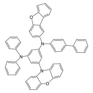 c1ccc(-c2ccc(N(c3cc(N(c4ccccc4)c4ccccc4)cc(N4c5ccccc5Oc5ccccc54)c3)c3ccc4oc5ccccc5c4c3)cc2)cc1